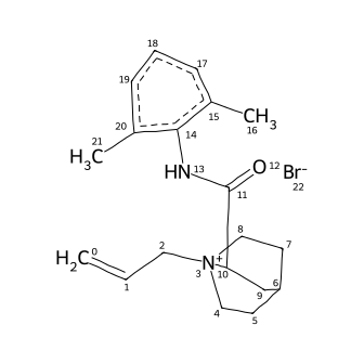 C=CC[N+]12CCC(CC1)CC2C(=O)Nc1c(C)cccc1C.[Br-]